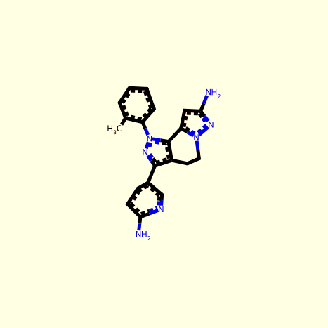 Cc1ccccc1-n1nc(-c2ccc(N)nc2)c2c1-c1cc(N)nn1CC2